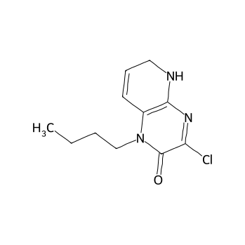 CCCCn1c2c(nc(Cl)c1=O)NCC=C2